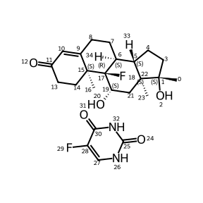 C[C@]1(O)CC[C@H]2[C@@H]3CCC4=CC(=O)CC[C@]4(C)[C@@]3(F)[C@@H](O)C[C@@]21C.O=c1[nH]cc(F)c(=O)[nH]1